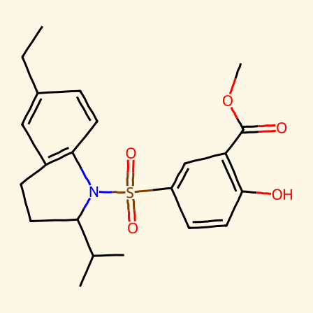 CCc1ccc2c(c1)CCC(C(C)C)N2S(=O)(=O)c1ccc(O)c(C(=O)OC)c1